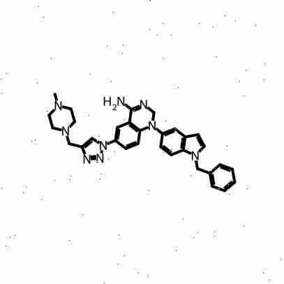 CN1CCN(Cc2cn(-c3ccc4c(c3)C(N)=NCN4c3ccc4c(ccn4Cc4ccccc4)c3)nn2)CC1